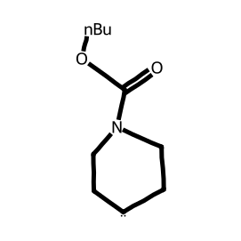 CCCCOC(=O)N1CC[C]CC1